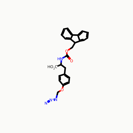 [N-]=[N+]=NCOc1ccc(CC(NC(=O)OCC2c3ccccc3-c3ccccc32)C(=O)O)cc1